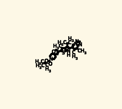 Cc1c(-c2[nH]c3sc(C4=CC5(CCN(C(=O)OC(C)(C)C)CC5)OC4)c(C)c3c2C(C)C)cn2ncnc2c1C